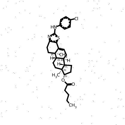 CCCCC(=O)O[C@H]1CC[C@H]2[C@@H]3CC=C4c5sc(Nc6ccc(Cl)cc6)nc5CC[C@]4(C)[C@H]3CC[C@]12C